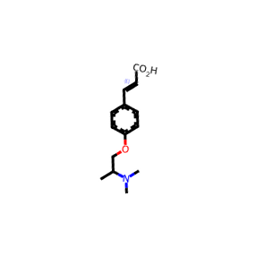 CC(COc1ccc(/C=C/C(=O)O)cc1)N(C)C